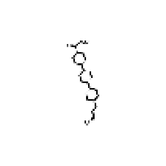 C=CCC[C@H]1CC[C@H]([C@H]2CC[C@H]([C@H]3CC[C@H](C(=O)OC)CC3)CC2)CC1